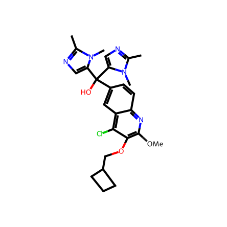 COc1nc2ccc(C(O)(c3cnc(C)n3C)c3cnc(C)n3C)cc2c(Cl)c1OCC1CCC1